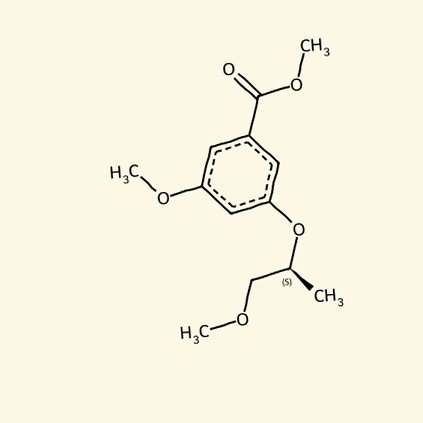 COC[C@H](C)Oc1cc(OC)cc(C(=O)OC)c1